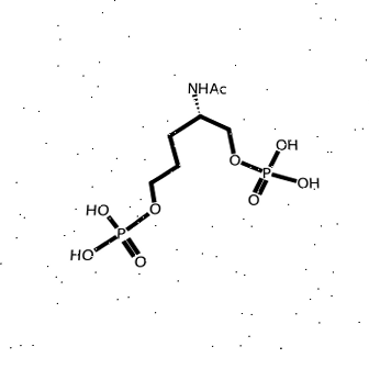 CC(=O)N[C@@H](CCCOP(=O)(O)O)COP(=O)(O)O